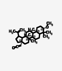 C=C(C)C1CC[C@]2(C=C=O)CC[C@]3(C)C(CCC4[C@@]5(C)CC[C@H](OC)C(C)(C)C5CC[C@]43C)C12